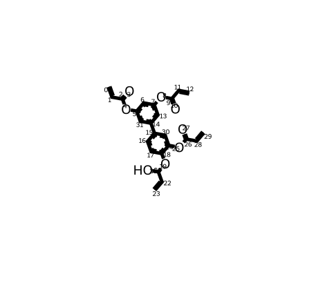 C=CC(=O)Oc1cc(OC(=O)C=C)cc(-c2ccc(OC(O)C=C)c(OC(=O)C=C)c2)c1